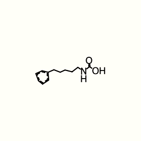 O=C(O)NCCCCCc1ccccc1